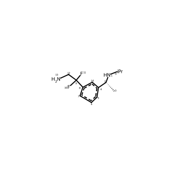 CC(C)N[C@H](C)c1cccc(C(F)(F)CN)c1